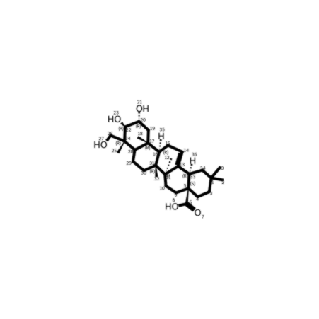 CC1(C)CC[C@]2(C(=O)O)CC[C@]3(C)C(=CC[C@@H]4[C@@]5(C)C[C@@H](O)[C@H](O)[C@@](C)(CO)C5CC[C@]43C)[C@H]2C1